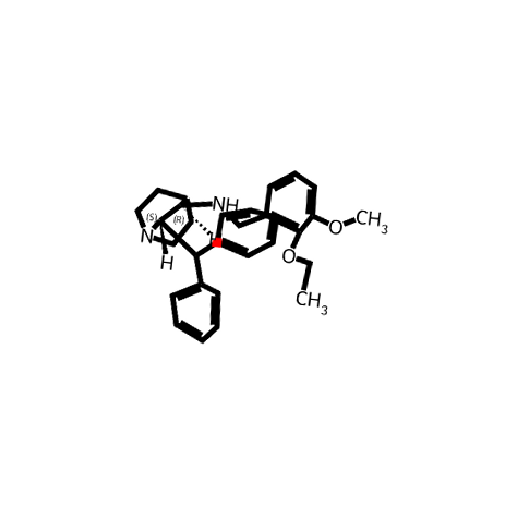 CCOc1c(CN[C@@H]2C3CCN(CC3)[C@H]2C(c2ccccc2)c2ccccc2)cccc1OC